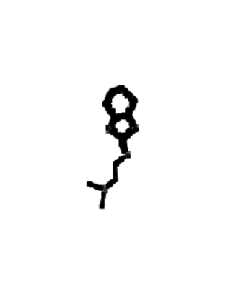 CN(C)CCN=c1sc2ccccc2s1